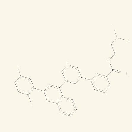 C=C(NCCN(C)C)c1cccc(-c2cncc(-c3cc(-c4cc(Cl)ccc4F)nc4ncccc34)c2)c1